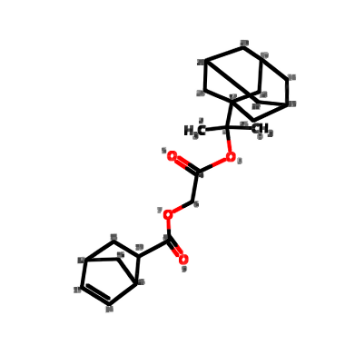 CC(C)(OC(=O)COC(=O)C1CC2C=CC1C2)C12CC3CC(CC(C3)C1)C2